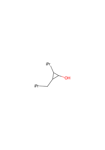 CC(C)CC1C(O)C1C(C)C